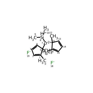 CC1=CC=C[C]1(C)[Zr+2]([SiH](C)C)[C]1(C)C=CC=C1C.[F-].[F-]